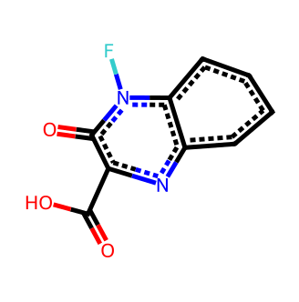 O=C(O)c1nc2ccccc2n(F)c1=O